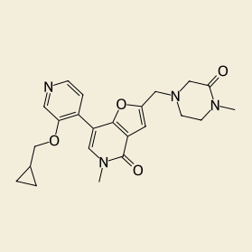 CN1CCN(Cc2cc3c(=O)n(C)cc(-c4ccncc4OCC4CC4)c3o2)CC1=O